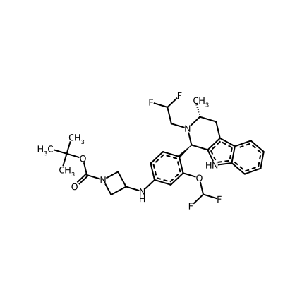 C[C@@H]1Cc2c([nH]c3ccccc23)[C@@H](c2ccc(NC3CN(C(=O)OC(C)(C)C)C3)cc2OC(F)F)N1CC(F)F